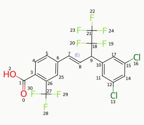 O=C(O)c1ccc(/C=C/C(c2cc(Cl)cc(Cl)c2)C(F)(F)C(F)(F)F)cc1C(F)(F)F